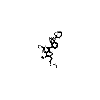 CCCc1sc2c(-c3cccc4c3cnn4C3CCCCO3)nc(Cl)nc2c1Br